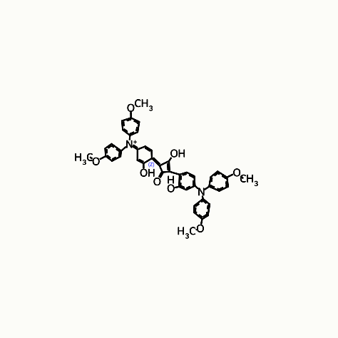 COc1ccc(N(c2ccc(OC)cc2)c2ccc(C3=C(O)/C(=C4\C=CC(=[N+](c5ccc(OC)cc5)c5ccc(OC)cc5)C=C4O)C3=O)c(O)c2)cc1